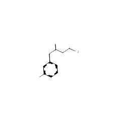 C[C](CCN)Cc1cccc(F)c1